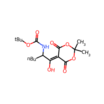 CCCCC(NC(=O)OC(C)(C)C)C(O)=C1C(=O)OC(C)(C)OC1=O